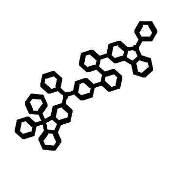 c1ccc(N(c2ccc(-c3ccccc3-c3ccccc3-c3ccc4c(c3)c3ccccc3n4-c3ccccc3)cc2)c2ccc3c(c2)C(c2ccccc2)(c2ccccc2)c2ccccc2-3)cc1